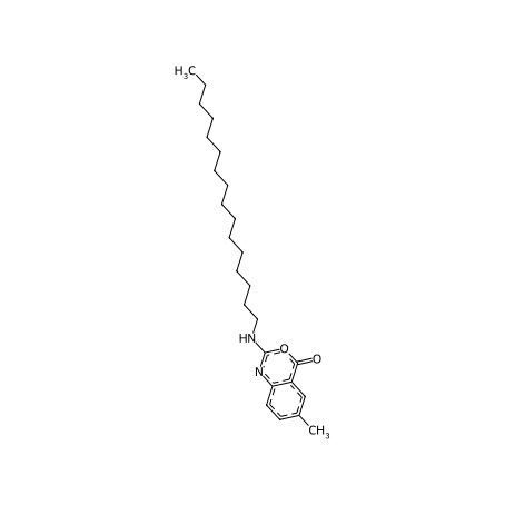 CCCCCCCCCCCCCCCCNc1nc2ccc(C)cc2c(=O)o1